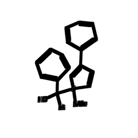 CCC(O)(c1ccccc1)S1(NC)C=CC(c2ccccc2)=C1